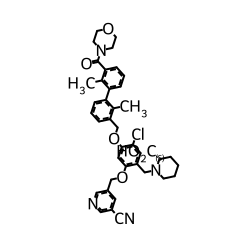 Cc1c(COc2cc(OCc3cncc(C#N)c3)c(CN3CCCC[C@H]3C(=O)O)cc2Cl)cccc1-c1cccc(C(=O)N2CCOCC2)c1C